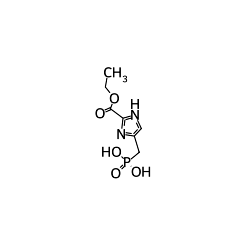 CCOC(=O)c1nc(CP(=O)(O)O)c[nH]1